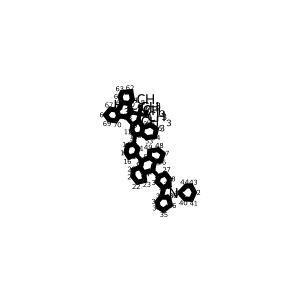 CC(C)(C)C1(C(C)(C)C)c2c(cc(-c3cccc(-c4c5ccccc5c(-c5ccc6c(c5)c5ccccc5n6-c5ccccc5)c5ccccc45)c3)c3ccccc23)-c2c1c1ccccc1c1ccccc21